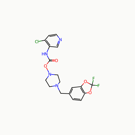 O=C(Nc1cnccc1Cl)ON1CCN(Cc2ccc3c(c2)OC(F)(F)O3)CC1